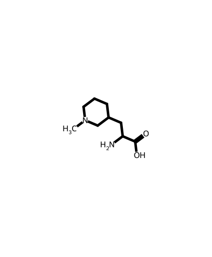 CN1CCCC(CC(N)C(=O)O)C1